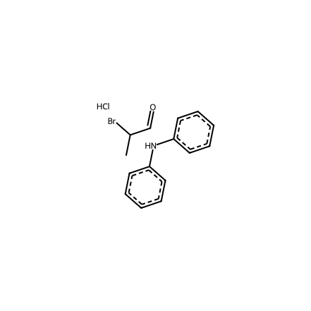 CC(Br)C=O.Cl.c1ccc(Nc2ccccc2)cc1